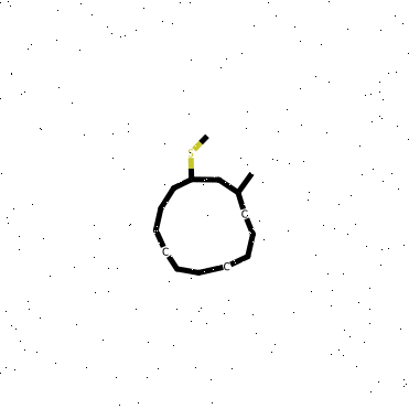 CSC1CCCCCCCCCCC(C)C1